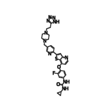 O=C(Nc1ccc(Oc2ccnc3cc(-c4ccc(CN5CCN(CCc6nnn[nH]6)CC5)cn4)sc23)c(F)c1)NC1CC1